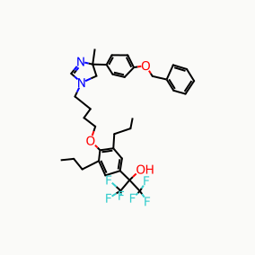 CCCc1cc(C(O)(C(F)(F)F)C(F)(F)F)cc(CCC)c1OCCCCN1C=NC(C)(c2ccc(OCc3ccccc3)cc2)C1